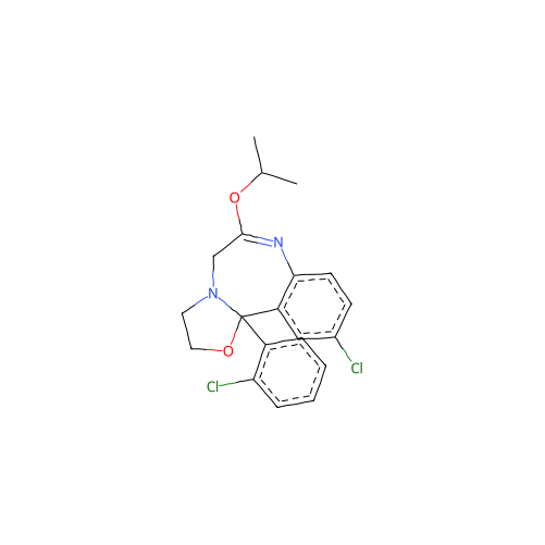 CC(C)OC1=Nc2ccc(Cl)cc2C2(c3ccccc3Cl)OCCN2C1